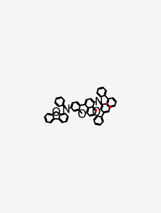 c1ccc(-c2ccccc2N(c2ccc3c4c(cccc24)Oc2cc(N(c4ccccc4)c4cccc5c4oc4ccccc45)ccc2-3)c2cccc3c2oc2ccccc23)cc1